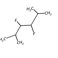 C[C](C)C(F)C(F)C(C)C